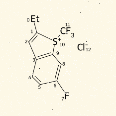 CCc1cc2ccc(F)cc2[s+]1C(F)(F)F.[Cl-]